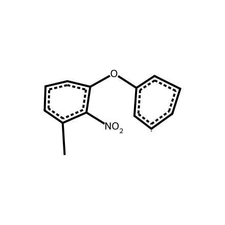 Cc1cccc(Oc2c[c]ccc2)c1[N+](=O)[O-]